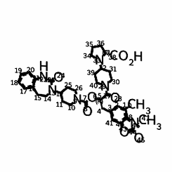 Cc1cc(C[C@@H](OC(=O)N2CCC(N3CCc4ccccc4NC3=O)CC2)C(=O)N2CCC(N3CCC[C@@H]3C(=O)O)CC2)cc2oc(=O)n(C)c12